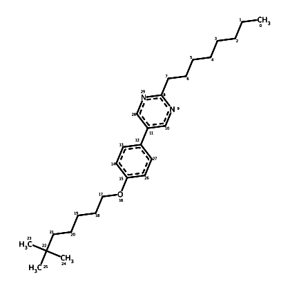 CCCCCCCCc1ncc(-c2ccc(OCCCCCC(C)(C)C)cc2)cn1